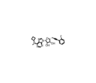 CN(c1ncnc2c1ncn2[C@@H]1O[C@H](CC#Cc2ccccc2F)[C@@H](O)[C@H]1O)C1CCC1